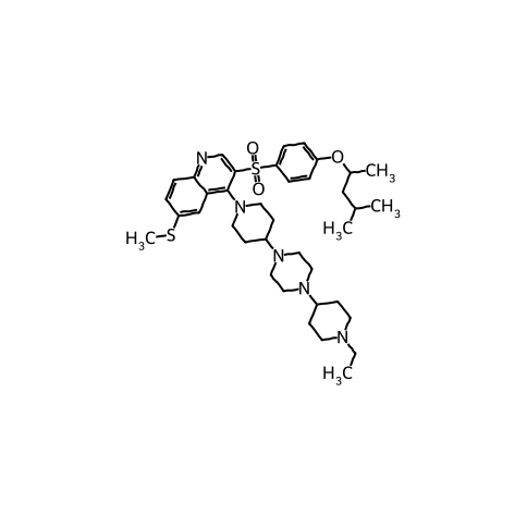 CCN1CCC(N2CCN(C3CCN(c4c(S(=O)(=O)c5ccc(OC(C)CC(C)C)cc5)cnc5ccc(SC)cc45)CC3)CC2)CC1